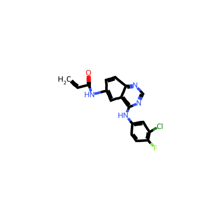 C=CC(=O)Nc1ccc2ncnc(Nc3ccc(F)c(Cl)c3)c2c1